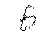 CC/C=C\C/C=C\C/C=C\CCCCCCCC(=O)OCC(COC(=O)CCCCCCC/C=C\CC)OC(=O)CCCCCCC/C=C\C/C=C\CCCCC